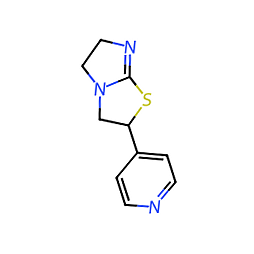 c1cc(C2CN3CCN=C3S2)ccn1